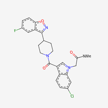 CNC(=O)Cn1cc(C(=O)N2CCC(c3noc4ccc(F)cc34)CC2)c2ccc(Cl)cc21